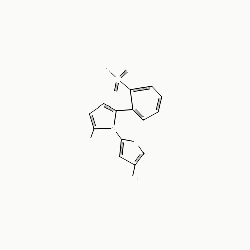 Cc1csc(-n2c(C)ccc2-c2ccccc2S(N)(=O)=O)c1